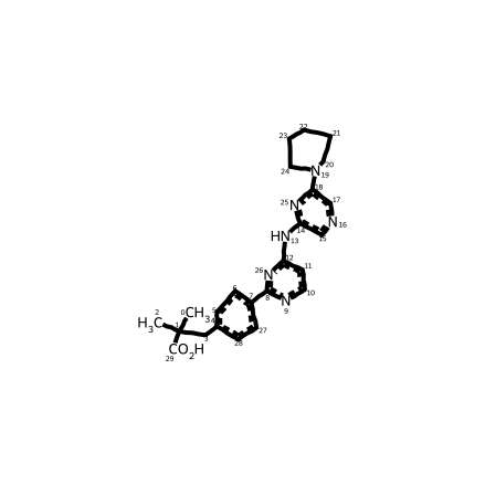 CC(C)(Cc1ccc(-c2nccc(Nc3cncc(N4CCCCC4)n3)n2)cc1)C(=O)O